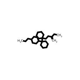 C=C(CC)CCC1(C2(C3CCC(CCC)CC3)CCCCC2)CCCCC1